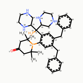 CC1(C)CC(=O)CC(C)(C)P1c1cc(Cc2ccccc2)c(Cc2ccccc2)cc1C(P)(C1CNCCN1)C1CNCCN1